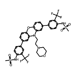 CS(=O)(=O)Nc1ccc(-c2ccc3c(c2)N(CCN2CCOCC2)c2cc(-c4ccc(NS(C)(=O)=O)c(C(F)(F)F)c4)ccc2O3)cc1C(F)(F)F